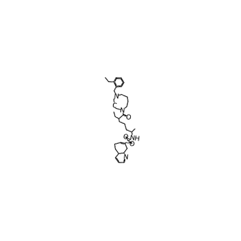 CCc1ccccc1CN1CCCCN(C(=O)C(CC)CCCC(C)NS(=O)(=O)C2=CCCC3C=CC=NC3C2)CCC1